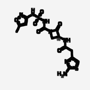 Cc1cc(NS(=O)(=O)NC(=O)N2C[C@H](NC(=O)Cc3csc(N)n3)C2=O)no1